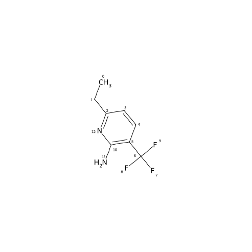 CCc1ccc(C(F)(F)F)c(N)n1